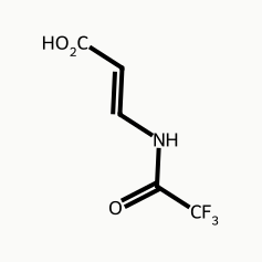 O=C(O)C=CNC(=O)C(F)(F)F